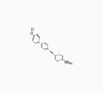 CCCCCC1CC=C(C#Cc2ccc(-c3ccc(OCC)cc3)cc2)CC1